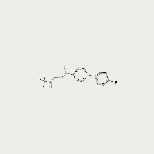 CC(CCNC(C)(C)C)c1ccc(-c2ccc(F)cc2)cc1